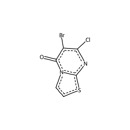 O=c1c(Br)c(Cl)nc2sccn12